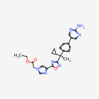 CCOC(=O)Cn1cnc(-c2nc([C@@](C)(c3ccc(-c4cnc(N)nc4)cc3)C3CC3)no2)c1